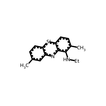 CCNc1c(C)ccc2[s+]c3ccc(C)cc3nc12